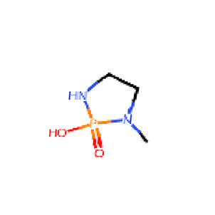 CN1CCNP1(=O)O